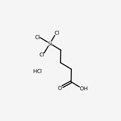 Cl.O=C(O)CCC[Si](Cl)(Cl)Cl